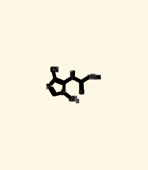 CCCCCCC(=O)Nc1c(C#N)ncn1C